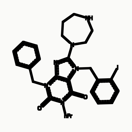 CCCn1c(=O)c2c(nc(N3CCCNCC3)n2Cc2ccccc2I)n(Cc2ccccc2)c1=O